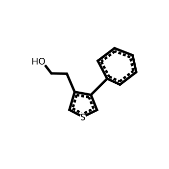 OCCc1cscc1-c1ccccc1